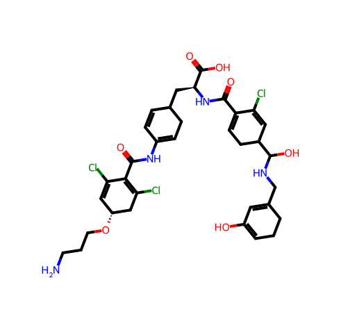 NCCCO[C@@H]1C=C(Cl)C(C(=O)NC2=CCC(C[C@H](NC(=O)C3=CCC(C(O)NCC4=CC(O)=CCC4)C=C3Cl)C(=O)O)C=C2)=C(Cl)C1